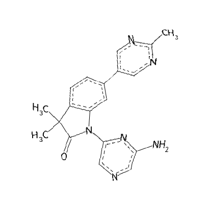 Cc1ncc(-c2ccc3c(c2)N(c2cncc(N)n2)C(=O)C3(C)C)cn1